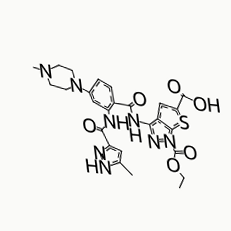 CCOC(=O)n1nc(NC(=O)c2ccc(N3CCN(C)CC3)cc2NC(=O)c2cc(C)[nH]n2)c2cc(C(=O)O)sc21